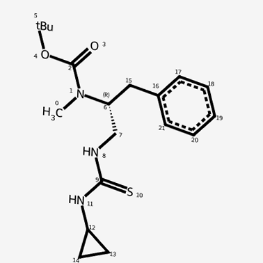 CN(C(=O)OC(C)(C)C)[C@@H](CNC(=S)NC1CC1)Cc1ccccc1